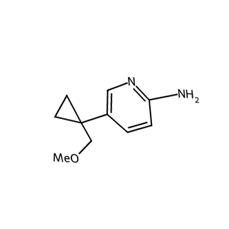 COCC1(c2ccc(N)nc2)CC1